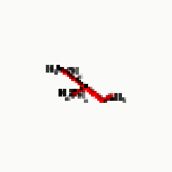 CCCCC/C=C\CCCCCCCCCCC[C@@H](CCCCCCCCCCC/C=C(\C)CCCCC)CCCCCCN(C)C